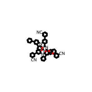 N#Cc1cccc(-c2ccc(-c3nc(-c4ccc(-c5cccc(C#N)c5)cc4-n4c5ccccc5c5cc(-c6ccccc6)ccc54)nc(-c4ccc(-c5cccc(C#N)c5)cc4-n4c5ccccc5c5cc(-c6ccccc6)ccc54)n3)cc2)c1